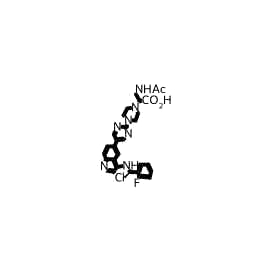 CC(=O)NCC(C(=O)O)N1CCN(c2ncc(-c3ccc4ncc(Cl)c(N[C@H](C)c5ccccc5F)c4c3)cn2)CC1